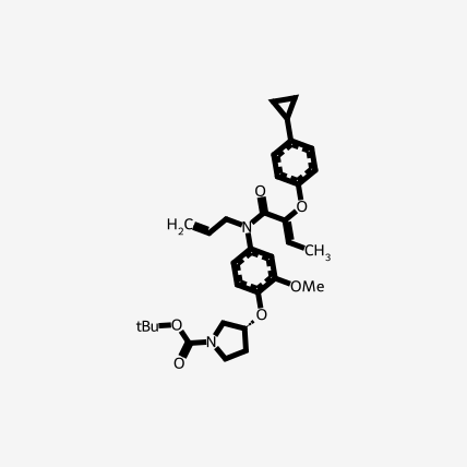 C=CCN(C(=O)/C(=C/C)Oc1ccc(C2CC2)cc1)c1ccc(O[C@@H]2CCN(C(=O)OC(C)(C)C)C2)c(OC)c1